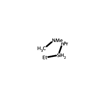 CCC[SiH2]CC.CNC